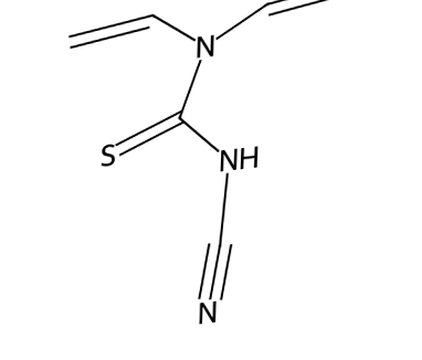 C=CN(C#N)C(=S)NC#N